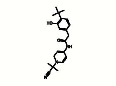 CC(C)(C)c1ccc(CC(=O)NC2=CCN(C(C)(C)C#N)C=C2)cc1O